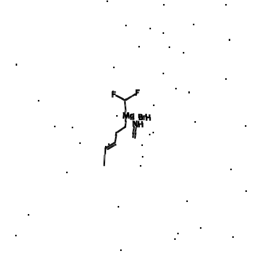 Br.C=N.CC=CC[CH2][Mg][CH](F)F